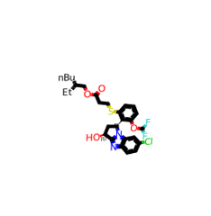 CCCCC(CC)COC(=O)CCSc1cccc(OC(F)F)c1[C@H]1C[C@H](O)c2nc3ccc(Cl)cc3n21